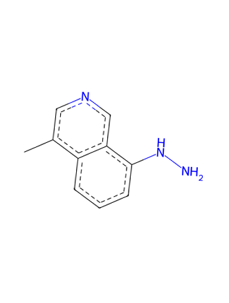 Cc1cncc2c(NN)cccc12